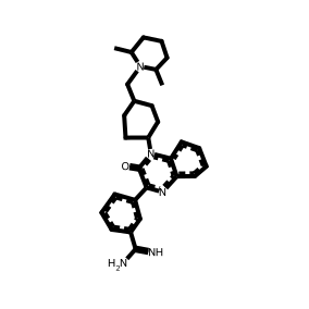 CC1CCCC(C)N1CC1CCC(n2c(=O)c(-c3cccc(C(=N)N)c3)nc3ccccc32)CC1